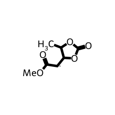 COC(=O)[CH]C1OC(=O)OC1C